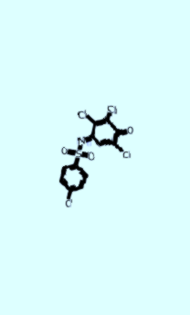 O=C1C(Cl)=C/C(=N\S(=O)(=O)c2ccc(Cl)cc2)C(Cl)=C1Cl